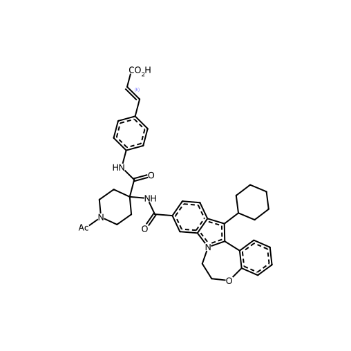 CC(=O)N1CCC(NC(=O)c2ccc3c(C4CCCCC4)c4n(c3c2)CCOc2ccccc2-4)(C(=O)Nc2ccc(/C=C/C(=O)O)cc2)CC1